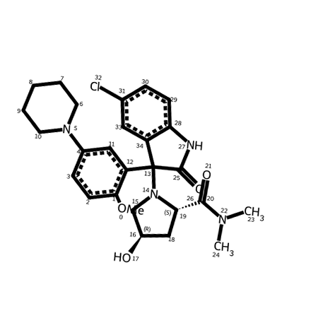 COc1ccc(N2CCCCC2)cc1C1(N2C[C@H](O)C[C@H]2C(=O)N(C)C)C(=O)Nc2ccc(Cl)cc21